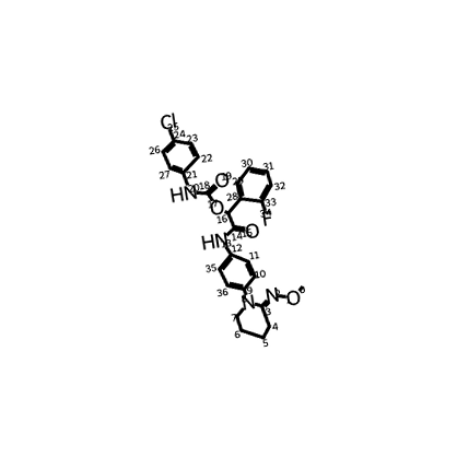 CON=C1CCCCN1c1ccc(NC(=O)C(OC(=O)Nc2ccc(Cl)cc2)c2ccccc2F)cc1